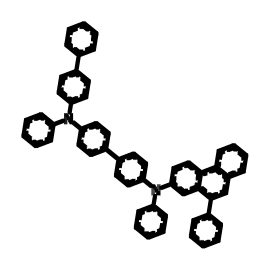 c1ccc(-c2ccc(N(c3ccccc3)c3ccc(-c4ccc(N(c5ccccc5)c5ccc6c(c5)c(-c5ccccc5)cc5ccccc56)cc4)cc3)cc2)cc1